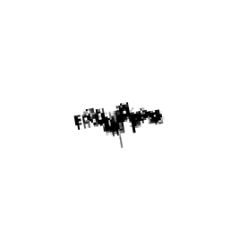 CCC(=O)Nc1cncc(-c2ccc3[nH]nc(-c4cc5c(-c6cc(F)cc(OCCN7CCCC7)c6)cncc5[nH]4)c3n2)c1